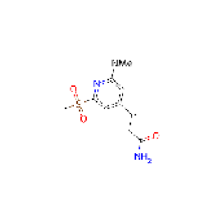 CNc1cc([CH]CC(N)=O)cc(S(C)(=O)=O)n1